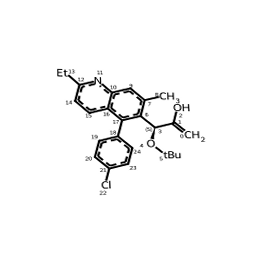 C=C(O)[C@@H](OC(C)(C)C)c1c(C)cc2nc(CC)ccc2c1-c1ccc(Cl)cc1